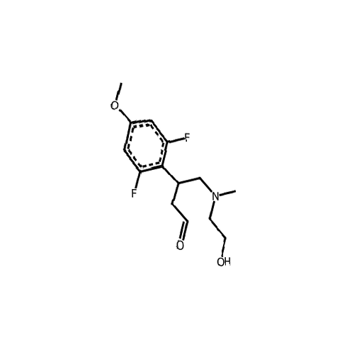 COc1cc(F)c(C(CC=O)CN(C)CCO)c(F)c1